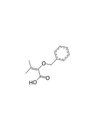 CC(C)=C(OCc1ccccc1)C(=O)O